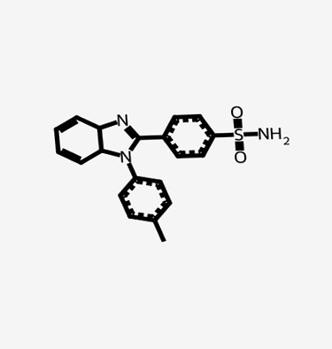 Cc1ccc(N2C(c3ccc(S(N)(=O)=O)cc3)=NC3C=CC=CC32)cc1